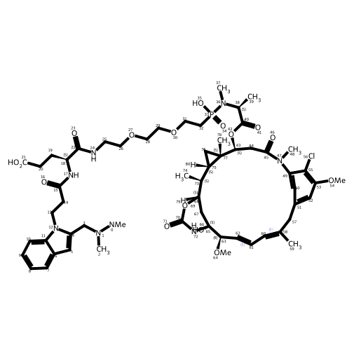 CNN(C)Cc1cc2ccccc2n1CCC(=O)N[C@@H](CCC(=O)O)C(=O)NCCOCCOCCP(=O)(O)N(C)[C@@H](C)C(=O)O[C@H]1CC(=O)N(C)c2cc(cc(OC)c2Cl)C/C(C)=C/C=C/[C@@H](OC)[C@@]2(O)C[C@H](OC(=O)N2)[C@@H](C)[C@@H]2C[C@]12C